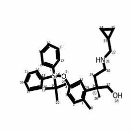 Cc1ccc(O[Si](c2ccccc2)(c2ccccc2)C(C)(C)C)cc1[C@@](C)(CO)CCNCC1CC1